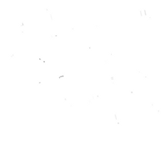 C=CCC1(OC(=O)C(C)(C)CC)CC(C)(C)N(Cl)C(C)(C)C1